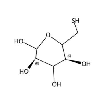 OC1OC(CS)[C@@H](O)C(O)[C@H]1O